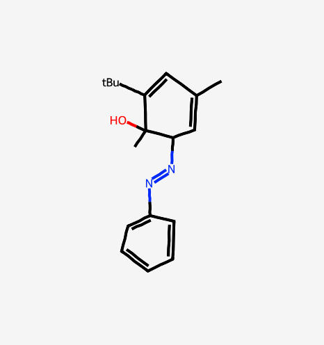 CC1=CC(N=Nc2ccccc2)C(C)(O)C(C(C)(C)C)=C1